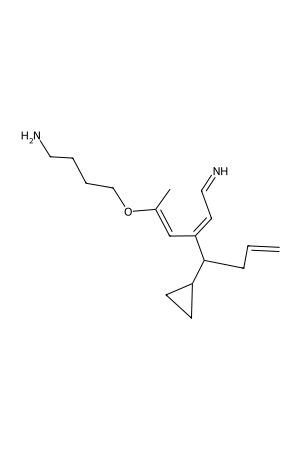 C=CCC(C(=C/C=N)/C=C(\C)OCCCCN)C1CC1